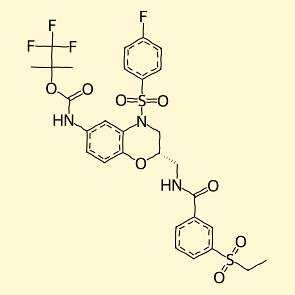 CCS(=O)(=O)c1cccc(C(=O)NC[C@H]2CN(S(=O)(=O)c3ccc(F)cc3)c3cc(NC(=O)OC(C)(C)C(F)(F)F)ccc3O2)c1